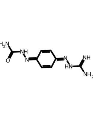 N=C(N)NN=C1C=CC(=NNC(N)=O)C=C1